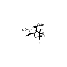 COC(=O)C1N(C(=O)OC(C)(C)C)CC(F)(F)C1(C)C